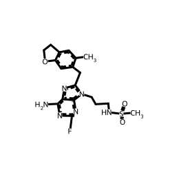 Cc1cc2c(cc1Cc1nc3c(N)nc(F)nc3n1CCCNS(C)(=O)=O)OCC2